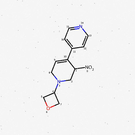 O=[N+]([O-])C1CN(C2COC2)CC=C1c1ccncc1